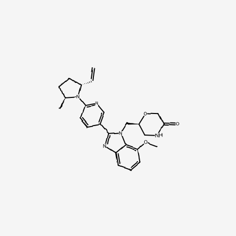 C=C[C@H]1CC[C@H](C)N1c1ccc(-c2nc3cccc(OC)c3n2C[C@@H]2CNC(=O)CO2)cn1